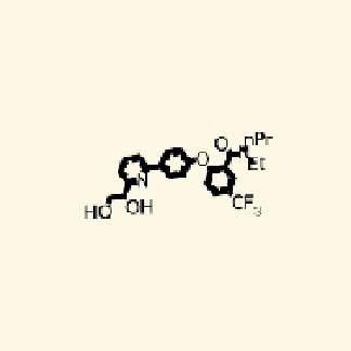 CCCN(CC)C(=O)c1cc(C(F)(F)F)ccc1Oc1ccc(-c2cccc([C@H](O)CO)n2)cc1